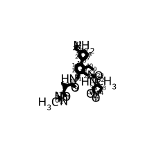 Cc1noc(C2CC2C(=O)NCc2ccc(-c3cccc(CN)c3)c3c2CN(C(=O)N[C@@]2(C)CCS(=O)(=O)C2)CC3)n1